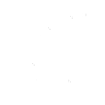 CN1CCCN(c2ccc3ccn(S(=O)(=O)c4cccnc4)c3c2)CC1